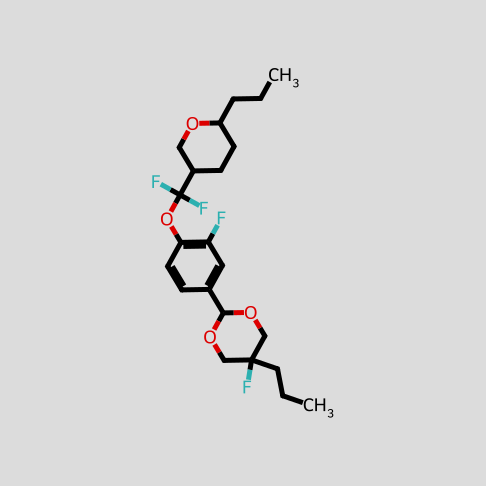 CCCC1CCC(C(F)(F)Oc2ccc(C3OCC(F)(CCC)CO3)cc2F)CO1